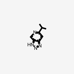 CC(C)c1cc2nn[nH]c2cn1